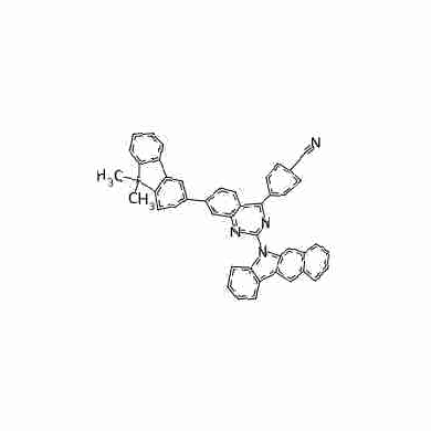 CC1(C)c2ccccc2-c2cc(-c3ccc4c(-c5ccc(C#N)cc5)nc(-n5c6ccccc6c6cc7ccccc7cc65)nc4c3)ccc21